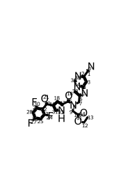 N#Cc1cc2nc(CN(CC3OCCO3)C(=O)c3cc(C(=O)c4c(F)cc(F)cc4F)c[nH]3)cn2cn1